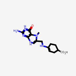 CN1C(CNC2=CCC(C(=O)O)CC2)=CNc2nc(N)[nH]c(=O)c21